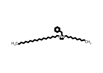 CCCCCCCCCCCCCCCCCCC[n+]1ccn(CCCCCCCCCC)c1Cc1ccccc1